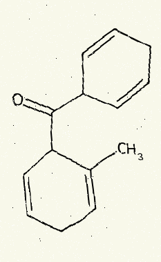 CC1=CCC=CC1C(=O)C1C=CCC=C1